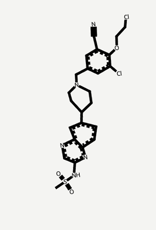 CS(=O)(=O)Nc1cnc2cc(C3CCN(Cc4cc(Cl)c(OCCCl)c(C#N)c4)CC3)ccc2n1